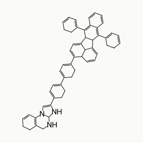 C1=CCCC(C2=c3ccccc3=C(C3=CC=CCC3)C3C4=CC=C(C5=CC=C(C6=CC=C(C7=CN8C9=C(CCC=C9)CNC8N7)CC6)CC5)C5C=CC=C(C45)C23)=C1